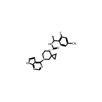 CC(NC(=O)[C@H]1CCN(c2ncnc3[nH]ccc23)CC12CC2)c1ccc(C#N)cc1F